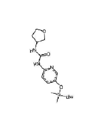 CC(C)(C)[Si](C)(C)Oc1ccc(NC(=O)NC2CCOC2)nc1